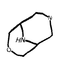 C1[N]CC2COCC1N2